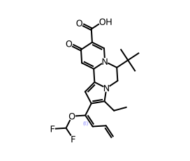 C=C/C=C(/OC(F)F)c1cc2n(c1CC)CC(C(C)(C)C)n1cc(C(=O)O)c(=O)cc1-2